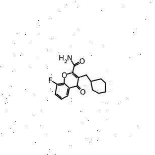 NC(=O)c1oc2c(F)cccc2c(=O)c1CC1CCCCC1